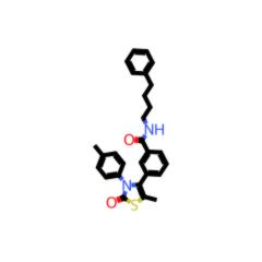 Cc1ccc(-n2c(-c3cccc(C(=O)NCCCCc4ccccc4)c3)c(C)sc2=O)cc1